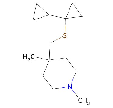 CN1CCC(C)(CSC2(C3CC3)CC2)CC1